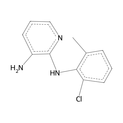 Cc1cccc(Cl)c1Nc1ncccc1N